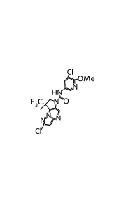 COc1ncc(NC(=O)N2C[C@@](C)(C(F)(F)F)c3c2cnc2cc(Cl)nn32)cc1Cl